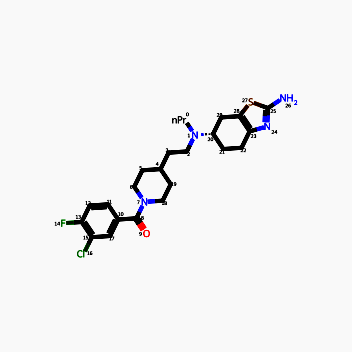 CCCN(CCC1CCN(C(=O)c2ccc(F)c(Cl)c2)CC1)[C@H]1CCc2nc(N)sc2C1